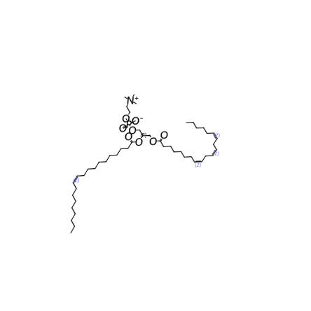 CCCCC/C=C\C/C=C\C/C=C\CCCCCCC(=O)OC[C@H](COP(=O)([O-])OCC[N+](C)(C)C)OC(=O)CCCCCCCCC/C=C\CCCCCCCC